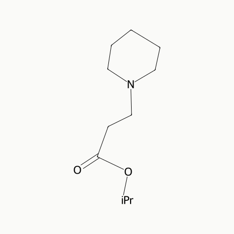 CC(C)OC(=O)CCN1CCCCC1